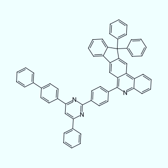 c1ccc(-c2ccc(-c3cc(-c4ccccc4)nc(-c4ccc(-c5nc6ccccc6c6cc7c(cc56)-c5ccccc5C7(c5ccccc5)c5ccccc5)cc4)n3)cc2)cc1